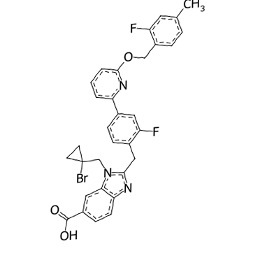 Cc1ccc(COc2cccc(-c3ccc(Cc4nc5ccc(C(=O)O)cc5n4CC4(Br)CC4)c(F)c3)n2)c(F)c1